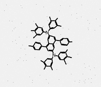 Cc1ccc(-c2cc(N(c3cc(C)c(C)c(C)c3)c3cc(C)c(C)c(C)c3)cc3c(-c4ccc(C)cc4)cc(N(c4cc(C)c(C)c(C)c4)c4cc(C)c(C)c(C)c4)cc23)cc1